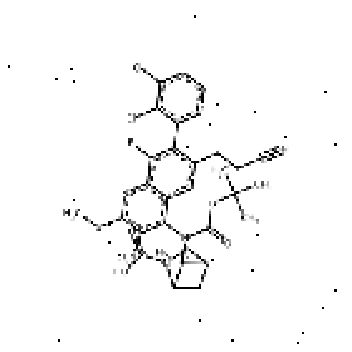 CSc1nc2c(F)c(-c3cccc(Cl)c3Cl)c(CCC#N)cc2c(N(C(=O)OC(C)(C)C)[C@H]2C3CC2N(C(=O)O)C3)c1N